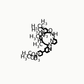 C[C@H]1CC(c2cc(C3=CCN(C(=O)OC(C)(C)C)CC3)ccn2)Nc2cccc(n2)SNC(=O)c2ccc(C(C)(C)C)nc2N2C[C@@H]1CC2(C)C